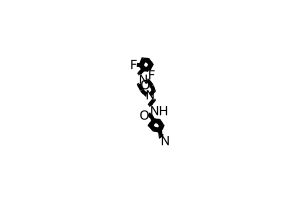 N#Cc1ccc(C(=O)NCCN2CC3CN(Cc4c(F)cccc4F)CC(C2)O3)cc1